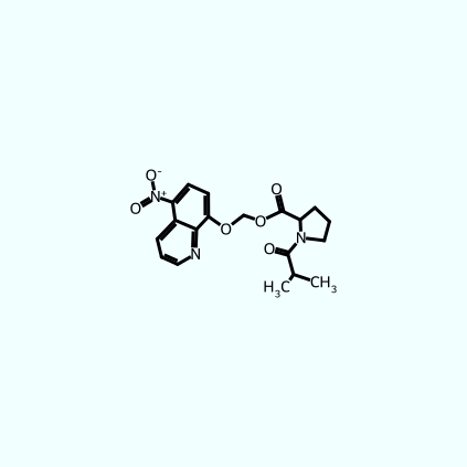 CC(C)C(=O)N1CCCC1C(=O)OCOc1ccc([N+](=O)[O-])c2cccnc12